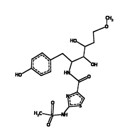 COCCC(O)C(O)C(Cc1ccc(O)cc1)NC(=O)c1csc(NS(C)(=O)=O)n1